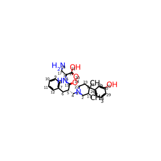 C[C@H]1CN(C[C@H](Cc2ccccc2)C(=O)N[C@@H](CN)C(=O)O)CC[C@@]1(C)c1cccc(O)c1